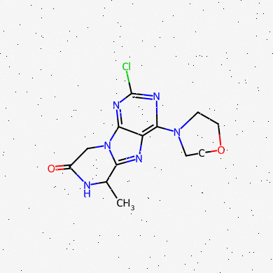 CC1NC(=O)Cn2c1nc1c(N3CCOCC3)nc(Cl)nc12